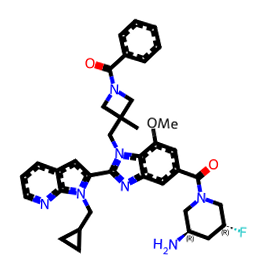 COc1cc(C(=O)N2C[C@H](N)C[C@@H](F)C2)cc2nc(-c3cc4cccnc4n3CC3CC3)n(CC3(C)CN(C(=O)c4ccccc4)C3)c12